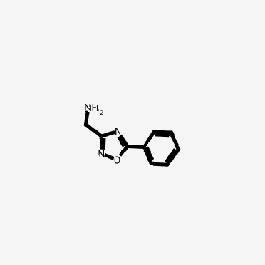 NCc1noc(-c2ccccc2)n1